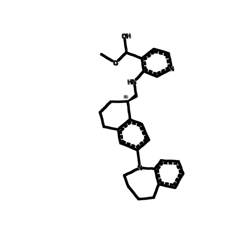 COC(O)c1ccncc1NC[C@@H]1CCCc2cc(N3CCCCc4ccccc43)ccc21